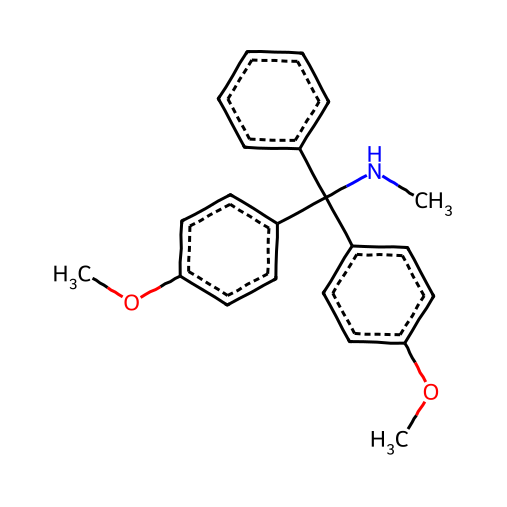 CNC(c1ccccc1)(c1ccc(OC)cc1)c1ccc(OC)cc1